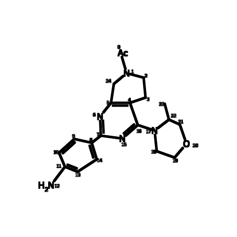 CC(=O)N1CCc2c(nc(-c3ccc(N)cc3)nc2N2CCOCC2C)C1